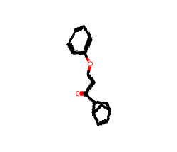 O=C(CCOc1ccccc1)C1CC2C=CC1C2